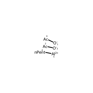 CC(=O)[O-].CC(=O)[O-].CCCC[CH2][Al+2]